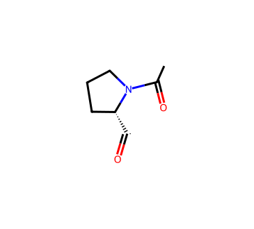 CC(=O)N1CCC[C@H]1[C]=O